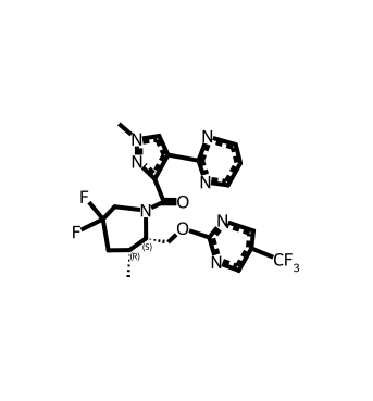 C[C@@H]1CC(F)(F)CN(C(=O)c2nn(C)cc2-c2ncccn2)[C@@H]1COc1ncc(C(F)(F)F)cn1